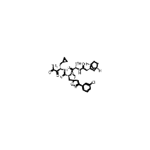 CC(C)(C)[C@H](NC(=O)C[C@@H]1C[C@H]2CC[C@H]1C2)C(=O)N1C[C@@]2(CC(c3cccc(Cl)c3)=NO2)C[C@H]1C(=O)N[C@@H](CC1CC1)C(=O)C(N)=O